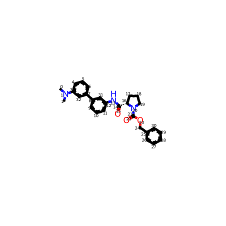 CN(C)c1cccc(-c2cccc(NC(=O)[C@@H]3CCCN3C(=O)OCc3ccccc3)c2)c1